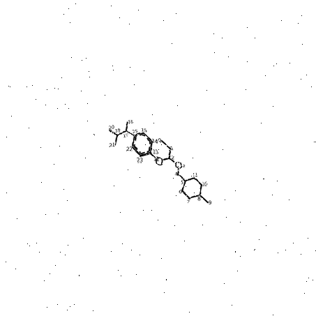 CCC(OCC1CCC(C)CC1)Oc1ccc(C(C)C(C)C)cc1